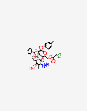 CC(=O)OCC1O[C@@H](O[C@@H]2C(COC(=O)CCl)O[C@@H](Oc3ccc(C)cc3)C(OC(=O)c3ccccc3)[C@H]2C)C(N=[N+]=[N-])[C@@H](C)[C@@H]1O